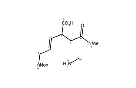 CCCCCCCCCCC=CC(CC(=O)NC)C(=O)O.CN